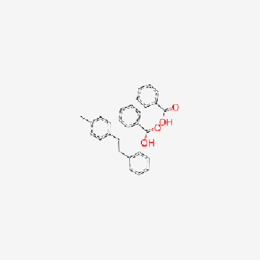 Cc1ccc(C=Cc2ccccc2)cc1.O=C(O)c1ccccc1.O=C(O)c1ccccc1